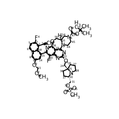 C#Cc1c(F)ccc2cc(OCOC)cc(-c3nc4c5c(nc(OC[C@@]67CCCN6[C@H](COS(C)(=O)=O)CC7)nc5c3F)N3CCN(C(=O)OC(C)(C)C)C[C@H]3CO4)c12